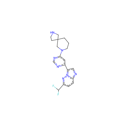 FC(F)c1ccc2ncc(-c3cc(N4CCCC5(CCNC5)C4)ncn3)n2n1